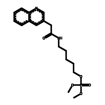 COP(=O)(OC)OCCCCCNC(=O)Cc1cnc2ccccc2c1